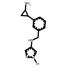 CCn1cc(NCc2cccc(C3CC3N)c2)cn1